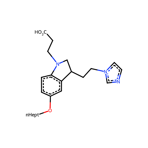 CCCCCCCOc1ccc2c(c1)C(CCn1ccnc1)CN2CCC(=O)O